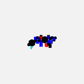 C=CC(=O)Nc1cc(Nc2ncnc(-c3ccc(C)c(F)c3)n2)c(OC)cc1N(C)CCN(C)C